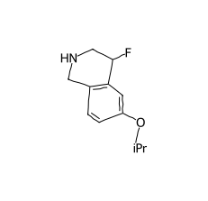 CC(C)Oc1ccc2c(c1)C(F)CNC2